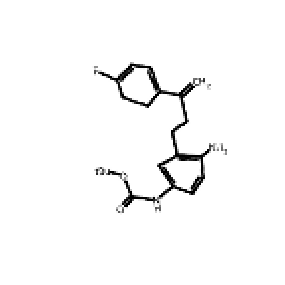 C=C(CCc1cc(NC(=O)OC(C)(C)C)ccc1N)C1=CC=C(F)CC1